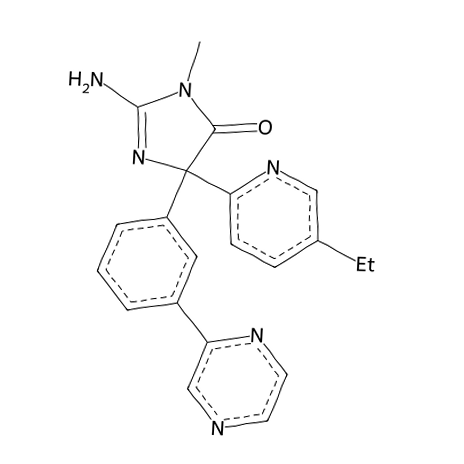 CCc1ccc(C2(c3cccc(-c4cnccn4)c3)N=C(N)N(C)C2=O)nc1